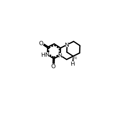 O=c1cc2n(c(=O)[nH]1)C[C@H]1CCCN2C1